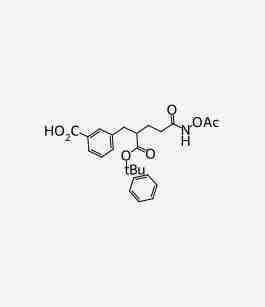 CC(=O)ONC(=O)CCC(Cc1cccc(C(=O)O)c1)C(=O)OC(C)(C)C.c1ccccc1